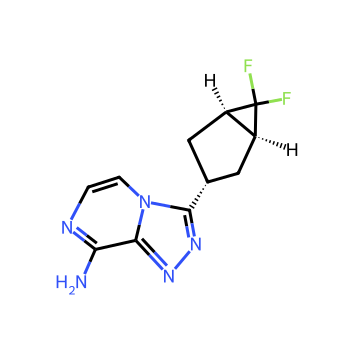 Nc1nccn2c([C@@H]3C[C@@H]4[C@H](C3)C4(F)F)nnc12